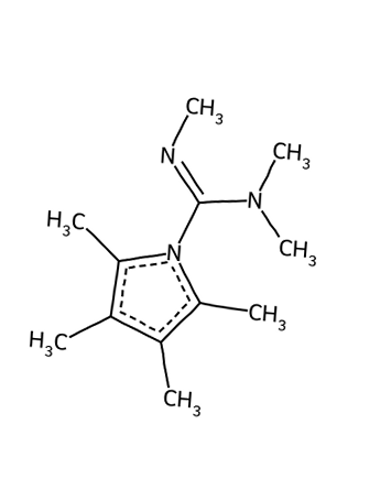 CN=C(N(C)C)n1c(C)c(C)c(C)c1C